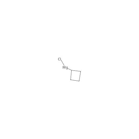 [Cl][Mg][CH]1CCC1